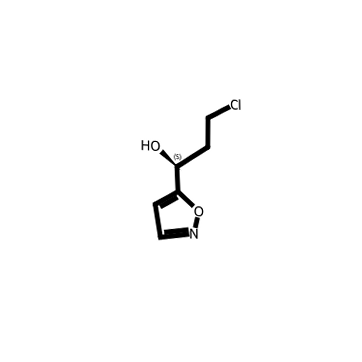 O[C@@H](CCCl)c1ccno1